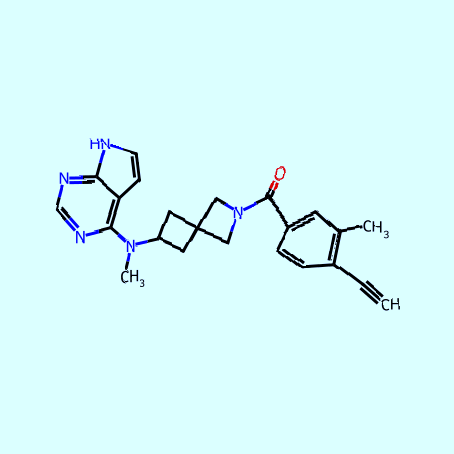 C#Cc1ccc(C(=O)N2CC3(CC(N(C)c4ncnc5[nH]ccc45)C3)C2)cc1C